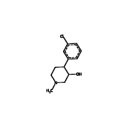 CN1CCC(c2cccc(Cl)c2)C(O)C1